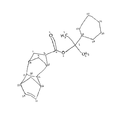 CC(C)(OC(=O)C1CC2CC1C1C3C=CC(C3)C21)C1CCCCC1